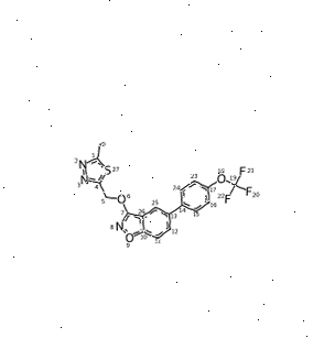 Cc1nnc(COc2noc3ccc(-c4ccc(OC(F)(F)F)cc4)cc23)s1